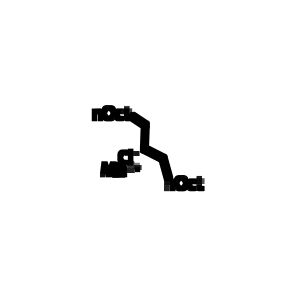 CCCCCCCCCCCCCCCCCCC.[Cl-].[Cl-].[Mn+2]